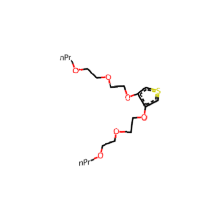 CCCOCCOCCOc1cscc1OCCOCCOCCC